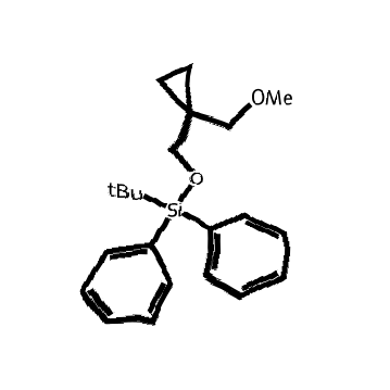 COCC1(CO[Si](c2ccccc2)(c2ccccc2)C(C)(C)C)CC1